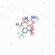 Cc1onc(C(N)=O)c1C(=O)c1ccc(C(F)(F)F)cc1[N+](=O)[O-]